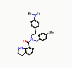 CCN(CC)c1ccc(CCN(Cc2ccc(C(C)(C)C)cc2)C(=O)c2cccc3c2NCCC3)cc1